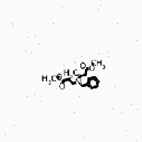 COC(=O)CCN(Cc1ccccc1)[C@H](C)CC(=O)OC